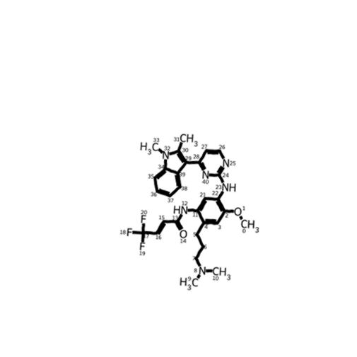 COc1cc(CCCN(C)C)c(NC(=O)/C=C/C(F)(F)F)cc1Nc1nccc(-c2c(C)n(C)c3ccccc23)n1